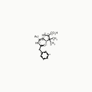 CC(=O)[C@@H](NC(=O)Cc1ccccc1)[C@@H]1N[C@@H](C(=O)O)C(C)(C)S1